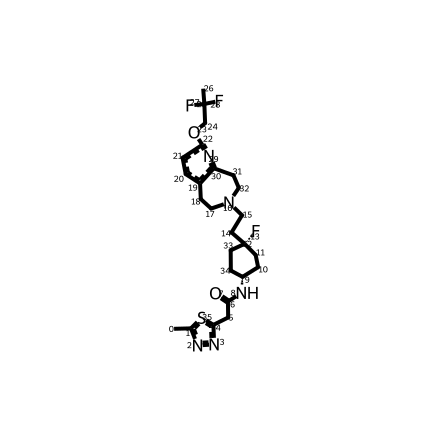 Cc1nnc(CC(=O)N[C@H]2CC[C@](F)(CCN3CCc4ccc(OCC(C)(F)F)nc4CC3)CC2)s1